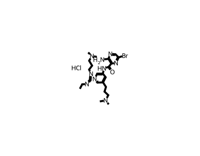 CCN=C=NCCCN(C)C.CN(C)CCCc1cncc(NC(=O)c2nc(Br)cnc2N)c1.Cl